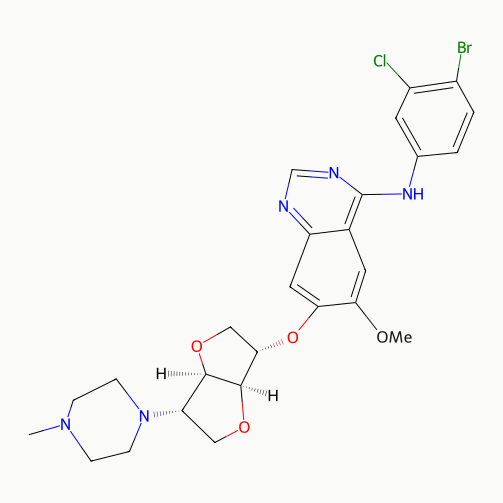 COc1cc2c(Nc3ccc(Br)c(Cl)c3)ncnc2cc1O[C@H]1CO[C@H]2[C@@H]1OC[C@@H]2N1CCN(C)CC1